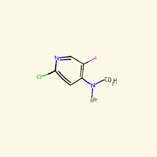 CCCN(C(=O)O)c1cc(Cl)ncc1I